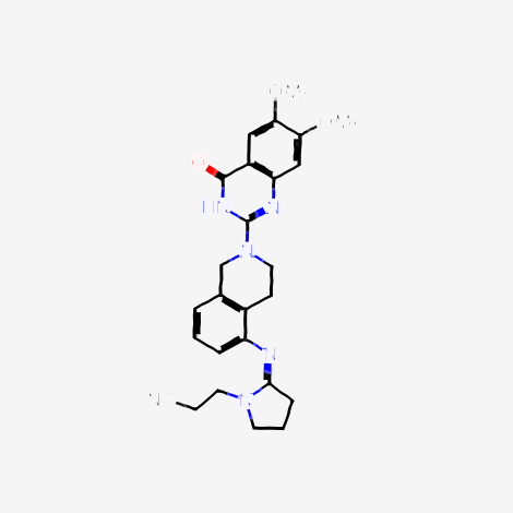 COc1cc2nc(N3CCc4c(cccc4N=C4CCCN4CCC#N)C3)[nH]c(=O)c2cc1OC